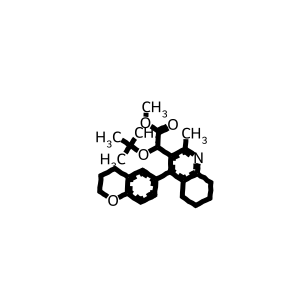 COC(=O)C(OC(C)(C)C)c1c(C)nc2c(c1-c1ccc3c(c1)CCCO3)CCCC2